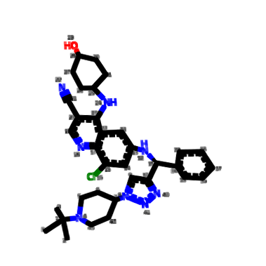 CC(C)(C)N1CCC(n2cc([C@@H](Nc3cc(Cl)c4ncc(C#N)c(NC5CCC(O)CC5)c4c3)c3ccccc3)nn2)CC1